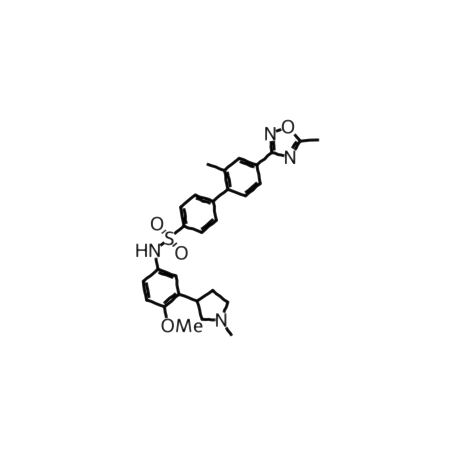 COc1ccc(NS(=O)(=O)c2ccc(-c3ccc(-c4noc(C)n4)cc3C)cc2)cc1C1CCN(C)C1